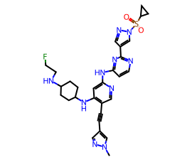 Cn1cc(C#Cc2cnc(Nc3ccnc(-c4cnn(S(=O)(=O)C5CC5)c4)n3)cc2NC2CCC(NCCF)CC2)cn1